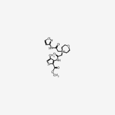 COC(=O)c1scc(C)c1NC(=O)C[N+]1(CC(=O)Nc2ccon2)CCOCC1